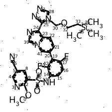 COc1ncc(C#N)cc1S(=O)(=O)Nc1ccc(F)c(-c2ccc3c(-c4nncn4COCC[Si](C)(C)C)ncn3c2)c1F